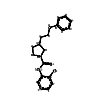 O=C(Nc1cnccc1Cl)N1CCC(CCOc2ccccc2)C1